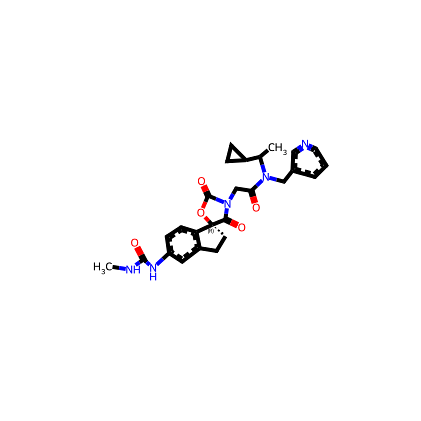 CNC(=O)Nc1ccc2c(c1)CC[C@@]21OC(=O)N(CC(=O)N(Cc2cccnc2)C(C)C2CC2)C1=O